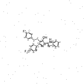 Oc1c(CCc2ccc(F)cc2)c(-c2ccc(C(F)(F)F)cn2)nn1-c1nc2ccccc2[nH]1